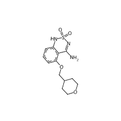 NC1=NS(=O)(=O)Nc2cccc(OCC3CCOCC3)c21